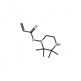 C=CC(=O)ON1CCNC(C)(C)C1(C)C